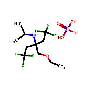 CCOCC(CC(F)(F)F)(CC(F)(F)F)NC(C)C.O=P(O)(O)O